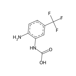 Nc1ccc(C(F)(F)F)cc1NC(=O)O